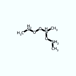 C[SiH2]OO[SiH](C)O[SiH2]C